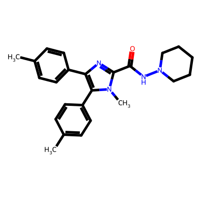 Cc1ccc(-c2nc(C(=O)NN3CCCCC3)n(C)c2-c2ccc(C)cc2)cc1